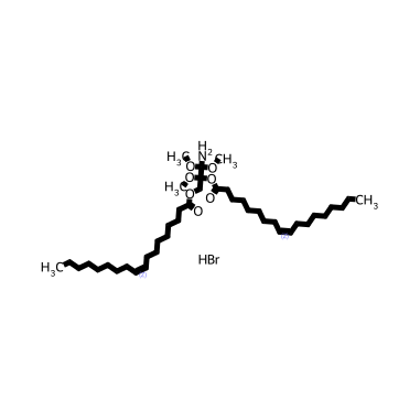 Br.CCCCCCCC/C=C\CCCCCCCC(=O)OCC(OC)(OC(=O)CCCCCCC/C=C\CCCCCCCC)C(N)(OC)OC